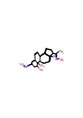 CC(=NO)C1CCC2C3CCC4=CC(=NO)CC(O)C4(C)C3CCC12C